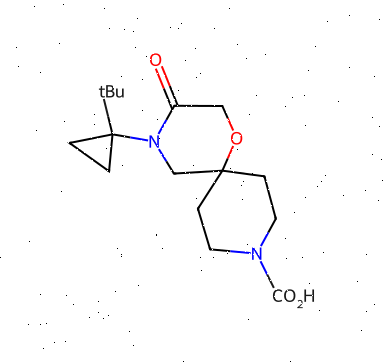 CC(C)(C)C1(N2CC3(CCN(C(=O)O)CC3)OCC2=O)CC1